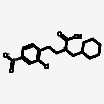 O=C(O)N(CCc1ccc([N+](=O)[O-])cc1Cl)CC1CCCCC1